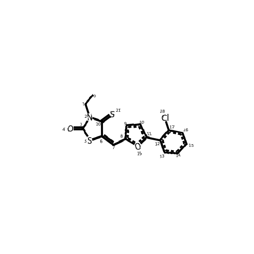 CCN1C(=O)SC(=Cc2ccc(-c3ccccc3Cl)o2)C1=S